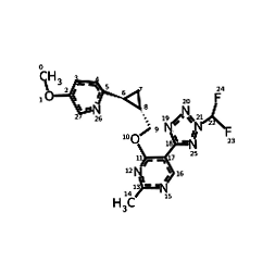 COc1ccc([C@H]2C[C@@H]2COc2nc(C)ncc2-c2nnn(C(F)F)n2)nc1